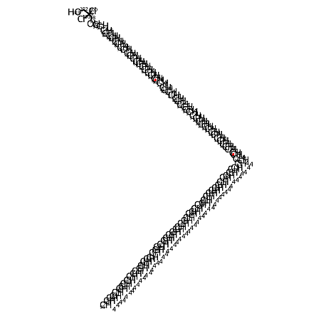 C.C.C.C.C.C.C.C.C.C.C.C.C.C.C.C.C.C.C.C.C.C.C.C.C.C.C.C.C.C.C.C.C.C.C.C.C.C.C.C.C.C.C.C.C.C.C.C.C.C.C.C.C.C.C.C.C.C.C.C.C.C.C.C.C.C.C.C.C.C.C.C.C.C.C.C.C.C.C.C.C.C.C.C.C.C.C.C.C.C.C.C.C.C.C.C.C.OCC(Cl)(Cl)CO